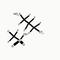 O=S(=O)(O)C(F)(F)C(F)(F)C(F)(F)C(F)(F)F.O=S(=O)(O)C(F)(F)F